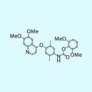 COc1cc2nccc(Oc3cc(C)c(NC(=O)Oc4c(OC)cccc4OC)cc3C)c2cc1OC